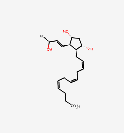 CC[C@H](O)/C=C/[C@@H]1[C@H](C/C=C\C/C=C\C/C=C\CCC(=O)O)[C@@H](O)C[C@H]1O